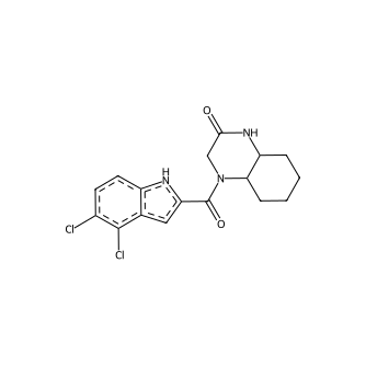 O=C1CN(C(=O)c2cc3c(Cl)c(Cl)ccc3[nH]2)C2CCCCC2N1